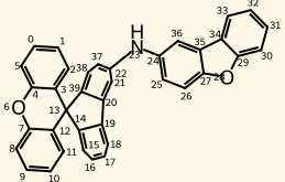 c1ccc2c(c1)Oc1ccccc1C21c2ccccc2-c2cc(Nc3ccc4oc5ccccc5c4c3)ccc21